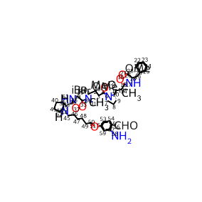 CC[C@H](C)[C@@H]([C@@H](CC(=O)N1CCC[C@H]1[C@H](OC)[C@@H](C)C(=O)NC(Cc1ccccc1)C(=O)OC)OC)N(C)C(=O)[C@@H](NC(=O)[C@@H]1[C@H]2CC[C@H](C2)N1CCCCCCOc1ccc(C=O)c(N)c1)C(C)C